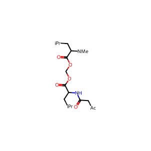 CNC(CC(C)C)C(=O)OCOC(=O)C(CC(C)C)NC(=O)CC(C)=O